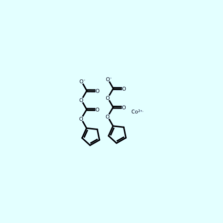 O=C([O-])OC(=O)OC1=CC=CC1.O=C([O-])OC(=O)OC1=CC=CC1.[Co+2]